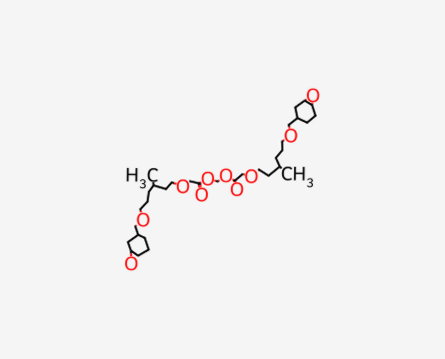 CC(CCCOCC1CCC2OC2C1)CCOCC(=O)OCOC(=O)COCCC(C)CCCOCC1CCC2OC2C1